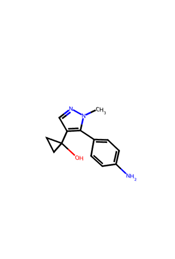 Cn1ncc(C2(O)CC2)c1-c1ccc(N)cc1